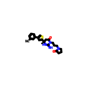 C[C@@]1(c2cc(-c3cccc(C#N)c3)cs2)CC(=O)N(CCCN2CCCC2=O)C(=N)N1